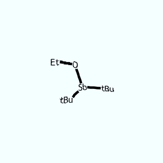 CC[O][Sb]([C](C)(C)C)[C](C)(C)C